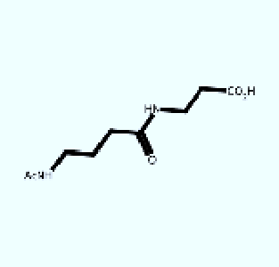 CC(=O)NCCCC(=O)NCCC(=O)O